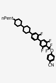 CCCCCC1CCC(C2CCC(c3ccc(-c4cc(F)c(C(F)(F)Oc5ccc(C#N)cc5)c(F)c4)c(F)c3)CC2)CC1